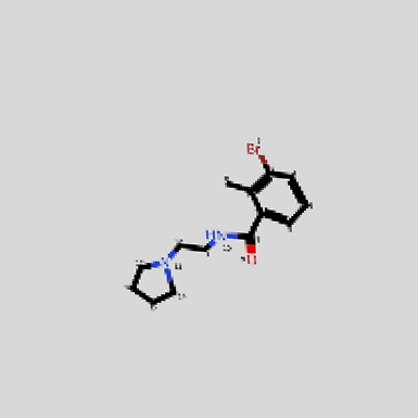 Cc1c(Br)cccc1C(=O)NCCN1CCCC1